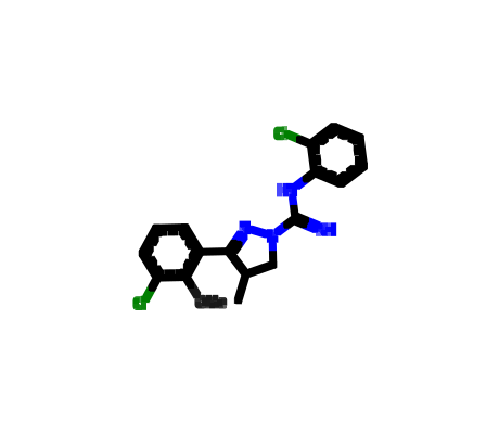 COc1c(Cl)cccc1C1=NN(C(=N)Nc2ccccc2Cl)CC1C